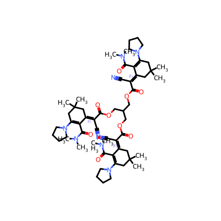 CN(C)C(=O)C1=C(N2CCCC2)CC(C)(C)C/C1=C(/C#N)C(=O)OCC(COC(=O)/C(C#N)=C1\CC(C)(C)CC(N2CCCC2)=C1C(=O)N(C)C)COC(=O)/C(C#N)=C1\CC(C)(C)CC(N2CCCC2)=C1C(=O)N(C)C